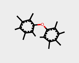 Cc1c(C)c(C)c(Oc2c(C)c(C)c(C)c(C)c2C)c(C)c1C